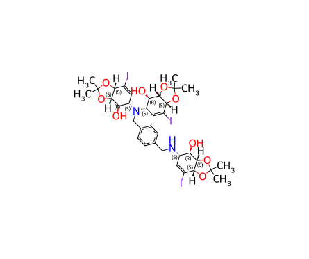 CC1(C)O[C@H]2[C@H](O)[C@@H](NCc3ccc(CN([C@H]4C=C(I)[C@H]5OC(C)(C)O[C@H]5[C@@H]4O)[C@H]4C=C(I)[C@H]5OC(C)(C)O[C@H]5[C@@H]4O)cc3)C=C(I)[C@H]2O1